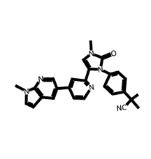 Cn1cc(-c2cc(-c3cnc4c(ccn4C)c3)ccn2)n(-c2ccc(C(C)(C)C#N)cc2)c1=O